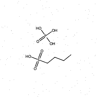 CCCCS(=O)(=O)O.O=P(O)(O)O